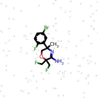 CC1(c2cc(Br)ccc2F)COC(CF)(CF)C(N)=N1